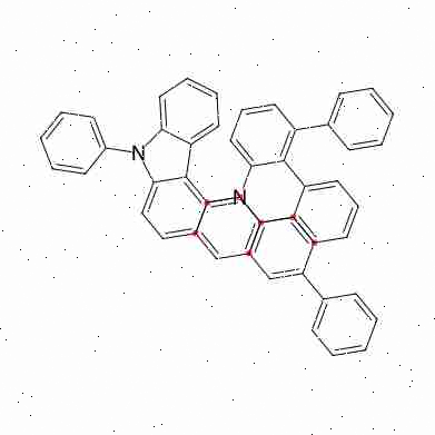 c1ccc(-c2ccc(N(c3cccc(-c4ccccc4)c3-c3ccccc3-c3ccccc3)c3cccc4c3c3ccccc3n4-c3ccccc3)cc2)cc1